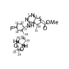 COC(=O)c1sc2ncnc(Nc3ccc(F)cc3C[C@@H]3C[C@@H]4OC(C)(C)O[C@@H]4C3)c2c1C